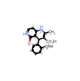 CCOC(=O)C1=C(C)Nc2cc[nH]c(=O)c2C1c1ccccc1OC